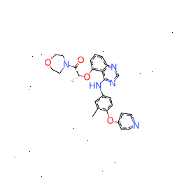 Cc1cc(Nc2ncnc3cccc(O[C@H](C)C(=O)N4CCOCC4)c23)ccc1Oc1ccncc1